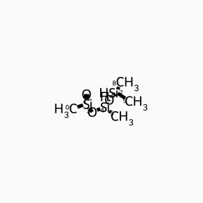 C[Si](=O)O[SiH](C)O[SiH](C)C